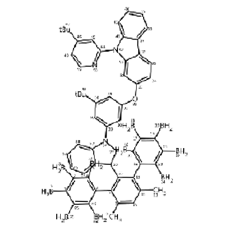 Bc1c(B)c(B)c(-c2c(C)cc(C)c(-c3c(B)c(B)c(B)c(B)c3B)c2C2CN(c3cc(Oc4ccc5c6ccccc6n(-c6cc(C(C)(C)C)ccn6)c5c4)cc(C(C)(C)C)c3)c3ccccc32)c(B)c1B